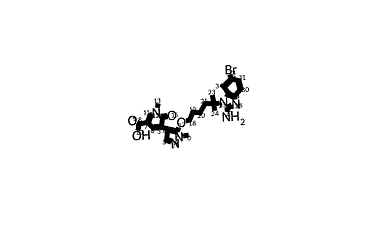 Cn1ncc(-c2cc(C(=O)O)cn(C)c2=O)c1OCCCCC(C)(C)n1c(N)nc2ccc(Br)cc21